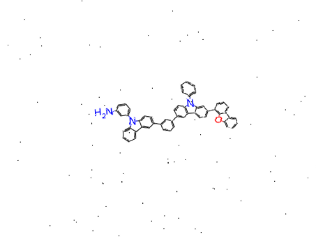 Nc1cccc(-n2c3ccccc3c3cc(-c4cccc(-c5ccc6c(c5)c5ccc(-c7cccc8c7oc7ccccc78)cc5n6-c5ccccc5)c4)ccc32)c1